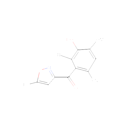 COc1cc(C#N)c(C(=O)c2cc(C)on2)c([N+](=O)[O-])c1O